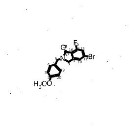 COc1ccc(CN2Cc3cc(Br)cc(F)c3C2=O)cc1